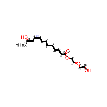 CCCCCC[C@@H](O)C/C=C\CCCCCCCC(=O)OCCOCCO